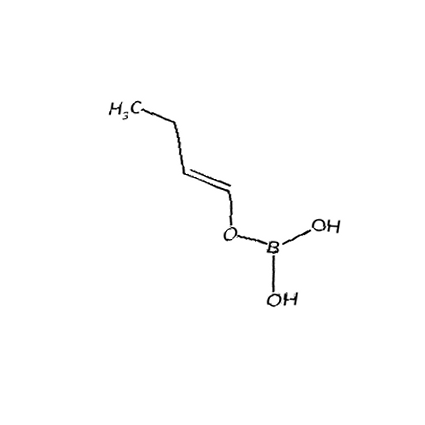 CCC=COB(O)O